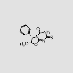 C[C@H]1Oc2nc(=S)[nH]c(=O)n2[C@H]1c1ccccc1